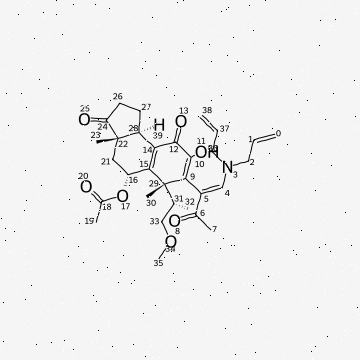 C=CCN(/C=C(/C(C)=O)C1=C(O)C(=O)C2=C([C@H](OC(C)=O)C[C@]3(C)C(=O)CC[C@@H]23)[C@@]1(C)[C@H](C)COC)CC=C